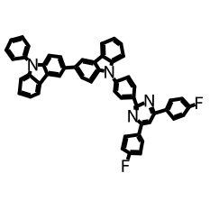 Fc1ccc(-c2cc(-c3ccc(F)cc3)nc(-c3ccc(-n4c5ccccc5c5cc(-c6ccc7c(c6)c6ccccc6n7-c6ccccc6)ccc54)cc3)n2)cc1